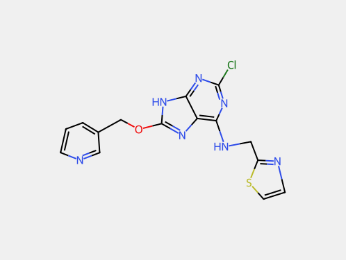 Clc1nc(NCc2nccs2)c2nc(OCc3cccnc3)[nH]c2n1